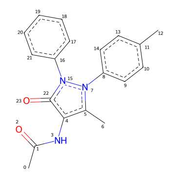 CC(=O)Nc1c(C)n(-c2ccc(C)cc2)n(-c2ccccc2)c1=O